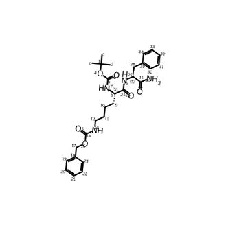 CC(C)(C)OC(=O)N[C@@H](CCCCNC(=O)OCc1ccccc1)C(=O)N[C@@H](Cc1ccccc1)C(N)=O